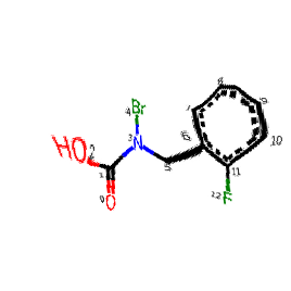 O=C(O)N(Br)Cc1ccccc1F